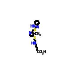 Cc1c(SCCNCCCCC(=O)O)ccnc1CSc1nc2ccccc2[nH]1